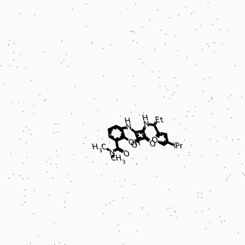 CCC(Nc1c(Nc2cccc(C(=O)N(C)C)c2O)c(=O)c1=O)c1cc(C(C)C)co1